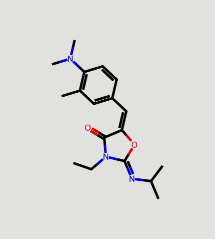 CCN1C(=O)/C(=C\c2ccc(N(C)C)c(C)c2)OC1=NC(C)C